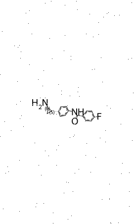 N[C@@H]1C[C@H]1c1ccc(NC(=O)c2ccc(F)cc2)cc1